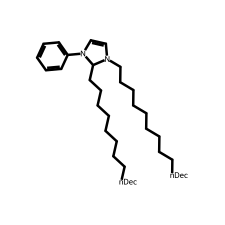 CCCCCCCCCCCCCCCCCCCN1C=CN(c2ccccc2)C1CCCCCCCCCCCCCCCCCC